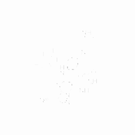 CS(=O)(=O)Cc1cc(Nc2cc(NC3CC3)n3ncc(C#N)c3n2)ccc1N1CCC[C@H](N)C1.O=C(O)C(F)(F)F